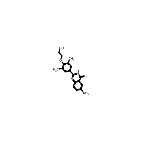 Cc1cc(-c2nc3ccc(N)cc3c(=O)[nH]2)cc(C)c1OCCO